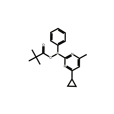 Cc1cc(C2CC2)nc(N(OC(=O)C(C)(C)C)c2ccccc2)n1